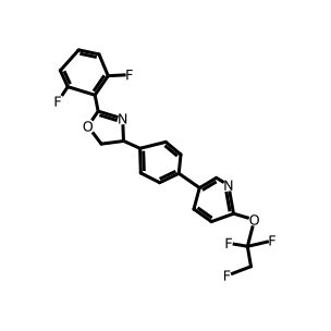 FCC(F)(F)Oc1ccc(-c2ccc(C3COC(c4c(F)cccc4F)=N3)cc2)cn1